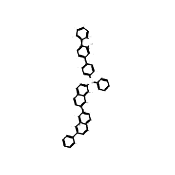 c1ccc(-c2ccc3ccc(-c4ccc5ccc(N(c6ccccc6)c6ccc(-c7ccc8c(c7)oc7ccccc78)cc6)cc5c4)cc3c2)cc1